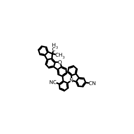 CC1(C)c2ccccc2-c2ccc3c(oc4ccc(-c5c(C#N)cccc5-n5c6ccccc6c6cc(C#N)ccc65)cc43)c21